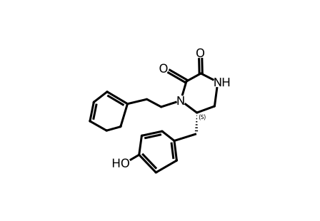 O=C1NC[C@H](Cc2ccc(O)cc2)N(CCC2=CC=CCC2)C1=O